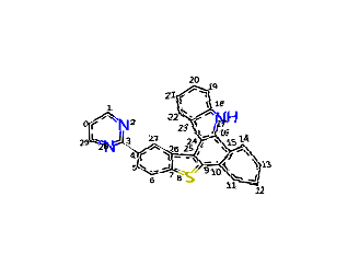 c1cnc(-c2ccc3sc4c5ccccc5c5[nH]c6ccccc6c5c4c3c2)nc1